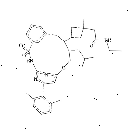 CCNC(=O)CC1(C)CC(C2Cc3cccc(c3)S(=O)(=O)Nc3nc(cc(-c4c(C)cccc4C)n3)OC[C@H]2CC(C)C)C1